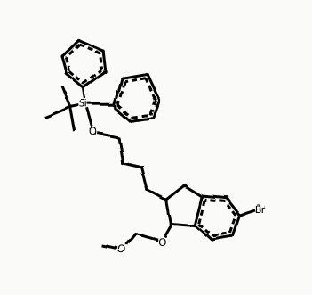 COCOC1c2ccc(Br)cc2CC1CCCCO[Si](c1ccccc1)(c1ccccc1)C(C)(C)C